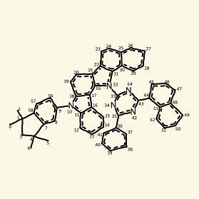 CC1(C)CC(C)(C)c2cc(-n3c4ccccc4c4c3ccc3c5ccc6ccccc6c5n(-c5nc(-c6ccccc6)nc(-c6cccc7ccccc67)n5)c34)ccc21